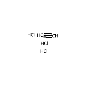 C#C.Cl.Cl.Cl